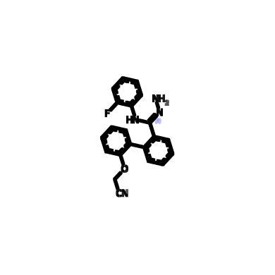 N#CCOc1ccccc1-c1ccccc1/C(=N/N)Nc1ccccc1F